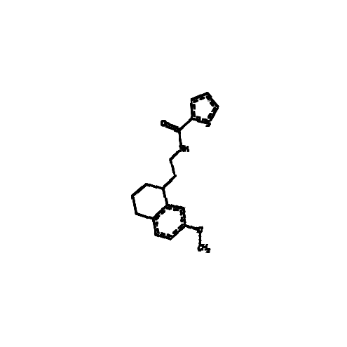 COc1ccc2c(c1)C(CCNC(=O)c1cccs1)CCC2